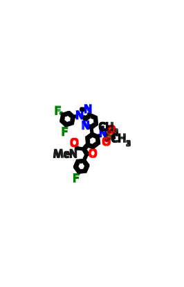 CNC(=O)c1c(-c2ccc(F)cc2)oc2cc(N(C)S(C)(=O)=O)c(-c3ccc4ncn(-c5cc(F)cc(F)c5)c4n3)cc12